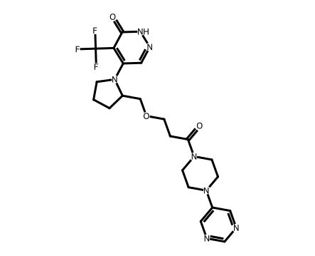 O=C(CCOCC1CCCN1c1cn[nH]c(=O)c1C(F)(F)F)N1CCN(c2cncnc2)CC1